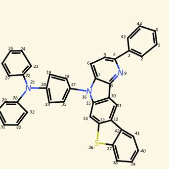 c1ccc(-c2ccc3c(n2)c2cc4c(cc2n3-c2ccc(N(c3ccccc3)c3ccccc3)cc2)sc2ccccc24)cc1